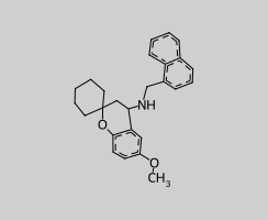 COc1ccc2c(c1)C(NCc1cccc3ccccc13)CC1(CCCCC1)O2